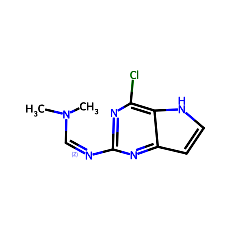 CN(C)/C=N\c1nc(Cl)c2[nH]ccc2n1